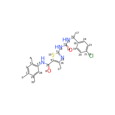 Cc1cc(C)c(NC(=O)c2sc(NC(=O)NC(C)c3ccc(Cl)cc3)nc2C)cc1C